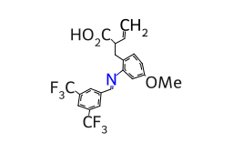 C=CC(Cc1ccc(OC)cc1N=Cc1cc(C(F)(F)F)cc(C(F)(F)F)c1)C(=O)O